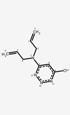 C=CCN(CC=C)c1cc(Cl)nnn1